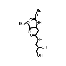 CC(C)(C)OC(=O)NC(CC(=O)NCC(O)CO)C(=O)OC(C)(C)C